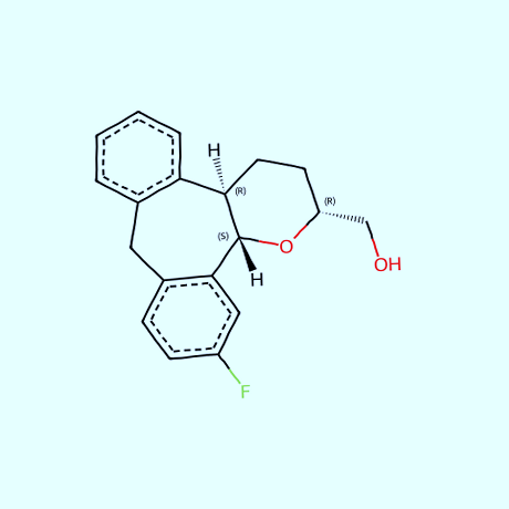 OC[C@H]1CC[C@@H]2c3ccccc3Cc3ccc(F)cc3[C@H]2O1